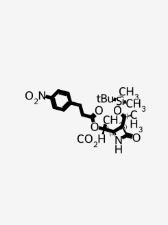 C[C@@H](O[Si](C)(C)C(C)(C)C)[C@H]1C(=O)N[C@@H]1[C@@](C)(OC(=O)CCc1ccc([N+](=O)[O-])cc1)C(=O)O